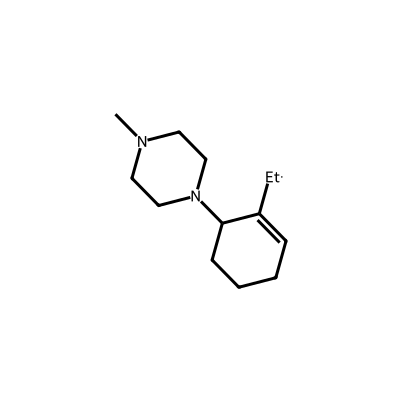 C[CH]C1=CCCCC1N1CCN(C)CC1